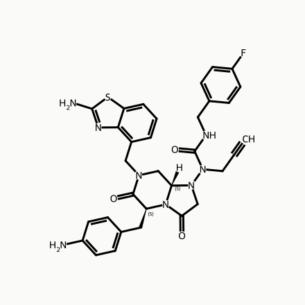 C#CCN(C(=O)NCc1ccc(F)cc1)N1CC(=O)N2[C@@H](Cc3ccc(N)cc3)C(=O)N(Cc3cccc4sc(N)nc34)C[C@@H]21